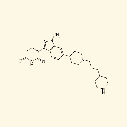 Cn1nc(N2CCC(=O)NC2=O)c2ccc(C3CCN(CCCC4CCNCC4)CC3)cc21